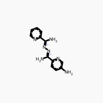 N/C(=N\N=C(/N)c1ccc(N)cn1)c1ccccn1